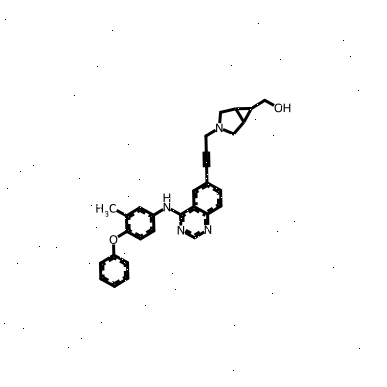 Cc1cc(Nc2ncnc3ccc(C#CCN4CC5C(CO)C5C4)cc23)ccc1Oc1ccccc1